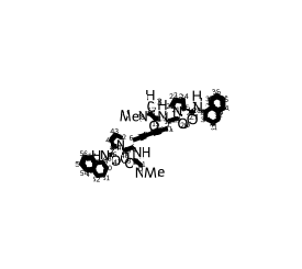 CNCC(=O)N[C@@H](CC#CC#CC[C@H](NC(=O)[C@H](C)NC)C(=O)N1CC=C[C@H]1C(=O)N[C@@H]1CCCc2ccccc21)C(=O)N1CC=C[C@H]1C(=O)N[C@@H]1CCCc2ccccc21